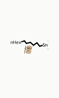 Br.Br.Br.CCCCCCCCCCC[CH2][Sn]